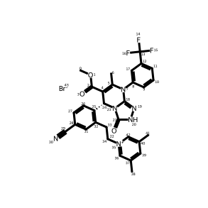 COC(=O)C1=C(C)N(c2cccc(C(F)(F)F)c2)c2n[nH]c(=O)n2[C@@H]1c1ccc(C#N)cc1CC[n+]1cc(C)cc(C)c1.[Br-]